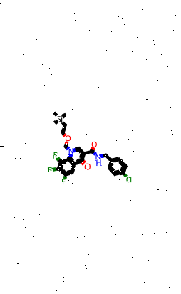 C[Si](C)(C)CCOCn1cc(C(=O)NCc2ccc(Cl)cc2)c(=O)c2cc(F)c(F)c(F)c21